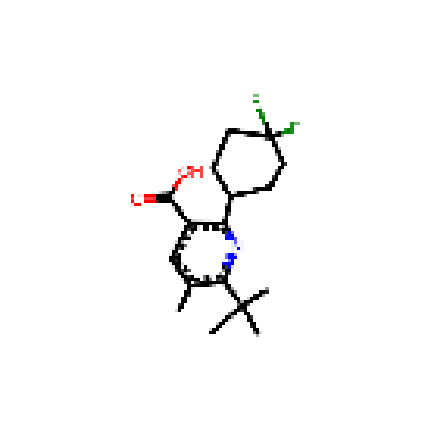 Cc1cc(C(=O)O)c(C2CCC(F)(F)CC2)nc1C(C)(C)C